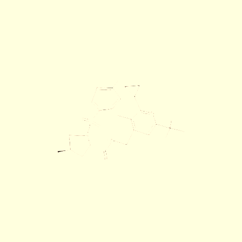 C[C@@H]1C[C@@H](C(=O)NCc2cc(C(C)(F)F)nc(C3CC3)c2F)N(S(=O)(=O)c2ccc(F)cc2)[C@H]1C